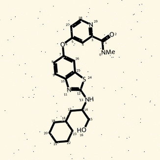 CNC(=O)c1cc(Oc2ccc3nc(NC(CO)CC4CCCCC4)sc3c2)ccn1